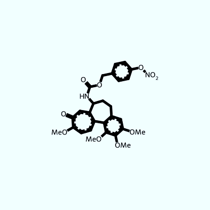 COc1cc2c(c(OC)c1OC)-c1ccc(OC)c(=O)cc1C(NC(=O)OCc1ccc(O[N+](=O)[O-])cc1)CC2